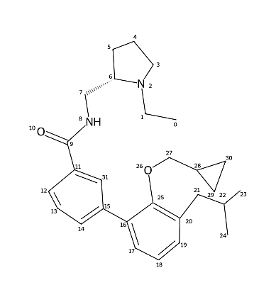 CCN1CCC[C@H]1CNC(=O)c1cccc(-c2cccc(CC(C)C)c2OCC2CC2)c1